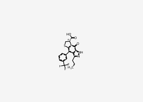 CCCc1n[nH]c2c(=O)n3c(c(-c4cccc(C(F)(F)F)c4)c12)SC[C@H]3C(=O)O